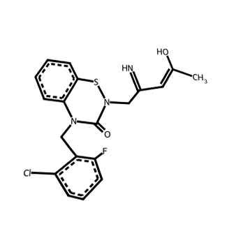 C/C(O)=C/C(=N)CN1Sc2ccccc2N(Cc2c(F)cccc2Cl)C1=O